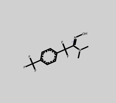 CN(C)/C(=N\O)C(F)(F)c1ccc(C(F)(F)F)cc1